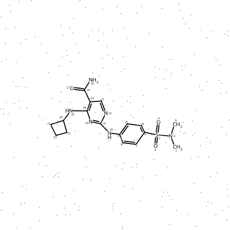 CN(C)S(=O)(=O)c1ccc(Nc2ncc(C(N)=O)c(NC3CCC3)n2)cc1